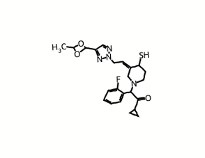 CC1OC(c2cnn(C/C=C3\CN(C(C(=O)C4CC4)c4ccccc4F)CCC3S)n2)O1